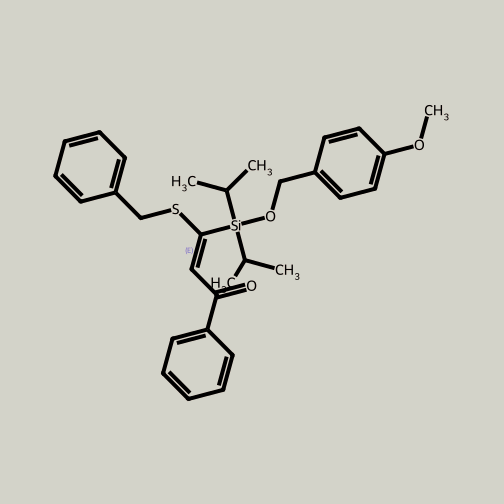 COc1ccc(CO[Si](/C(=C\C(=O)c2ccccc2)SCc2ccccc2)(C(C)C)C(C)C)cc1